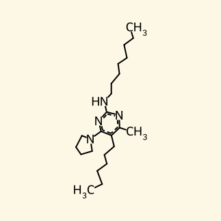 CCCCCCCCNc1nc(C)c(CCCCCC)c(N2CCCC2)n1